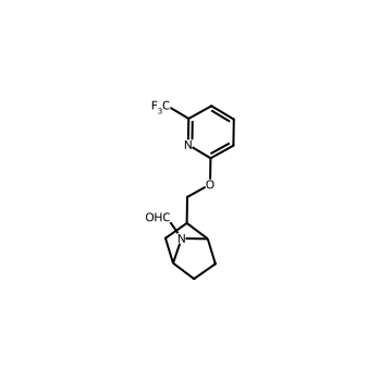 O=CN1C2CCC1C(COc1cccc(C(F)(F)F)n1)C2